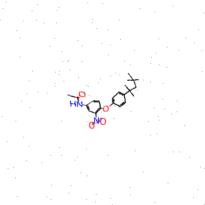 CC(=O)Nc1ccc(Oc2ccc(C(C)(C)CC(C)(C)C)cc2)c([N+](=O)[O-])c1